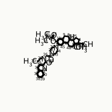 C#C[C@]1(O)CCC2[C@@H]3CCc4cc(OC(=O)N(C)C)c(N5CCN(C(=O)CN(CCC)C(=O)c6ccc7ccccc7n6)CC5)cc4C3CC[C@@]21C